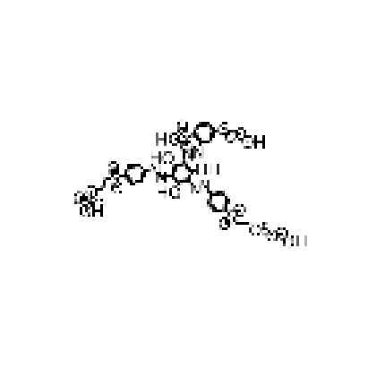 O=S(=O)(O)OCCS(=O)(=O)c1ccc(/N=N/c2c(O)c(/N=N/c3ccc(S(=O)(=O)CCOSOOO)cc3)c(O)c(/N=N/c3cc(SOOO)ccc3S(=O)(=O)O)c2O)cc1